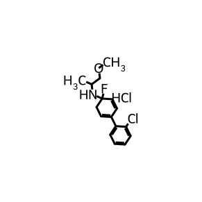 COCC(C)NC1(F)C=CC(c2ccccc2Cl)=CC1.Cl